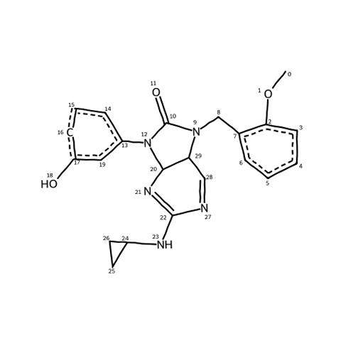 COc1ccccc1CN1C(=O)N(c2cccc(O)c2)C2N=C(NC3CC3)N=CC21